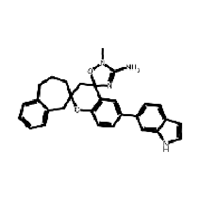 CN1OC2(CC3(CCCc4ccccc4C3)Oc3ccc(-c4ccc5cc[nH]c5c4)cc32)N=C1N